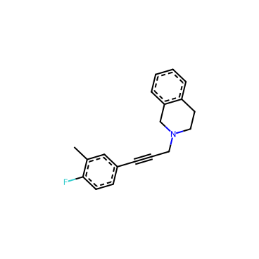 Cc1cc(C#CCN2CCc3ccccc3C2)ccc1F